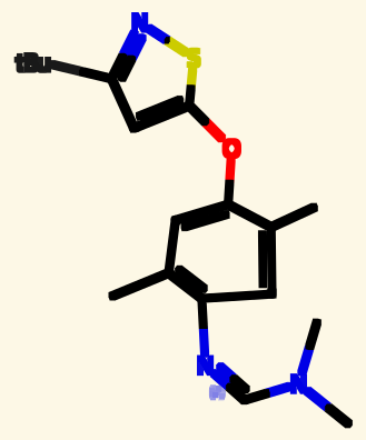 Cc1cc(Oc2cc(C(C)(C)C)ns2)c(C)cc1/N=C\N(C)C